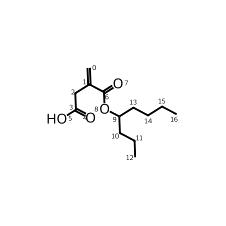 C=C(CC(=O)O)C(=O)OC(CCC)CCCC